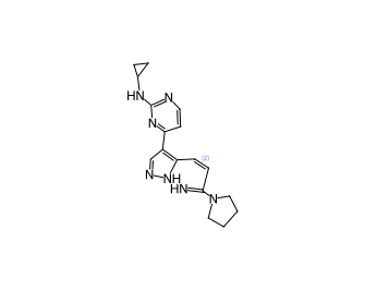 N=C(/C=C\c1[nH]ncc1-c1ccnc(NC2CC2)n1)N1CCCC1